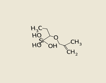 C=C(C)COC(CC)[Si](O)(O)O